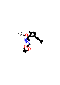 Cc1ccc(C#CC2CC2)cc1C(OCC(F)(F)F)c1cn(CC2OCC(C)(C)CO2)nn1